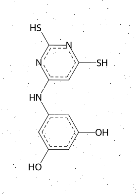 Oc1cc(O)cc(Nc2cc(S)nc(S)n2)c1